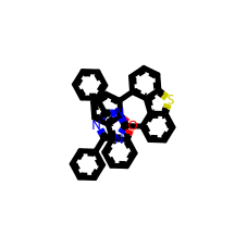 c1ccc(-c2nc(-c3ccccc3)nc(-c3cccc4sc5cccc(-c6cccc7c6oc6ccccc67)c5c34)n2)cc1